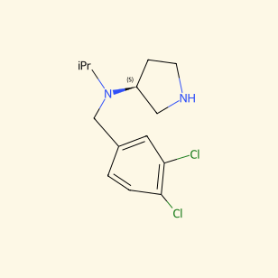 CC(C)N(Cc1ccc(Cl)c(Cl)c1)[C@H]1CCNC1